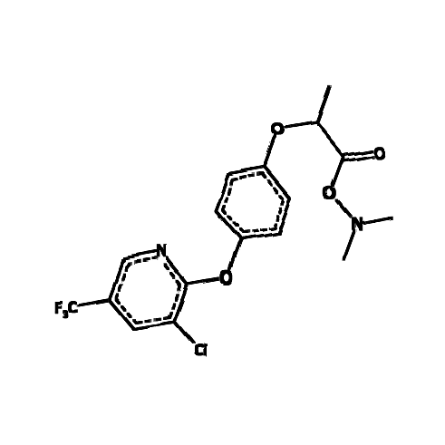 CC(Oc1ccc(Oc2ncc(C(F)(F)F)cc2Cl)cc1)C(=O)ON(C)C